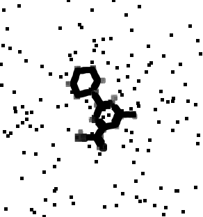 Cc1cc(C(=O)O)nc(N2CCCCC2)n1